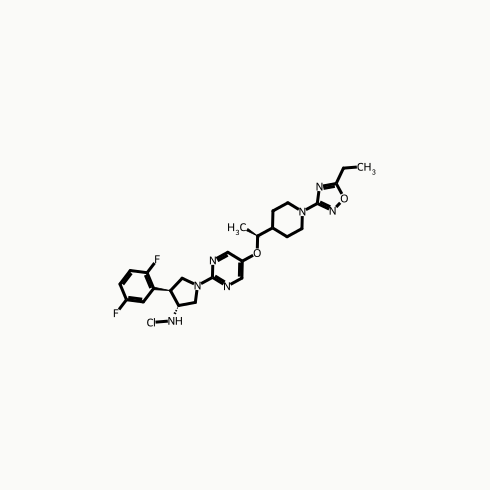 CCc1nc(N2CCC([C@H](C)Oc3cnc(N4C[C@H](NCl)[C@@H](c5cc(F)ccc5F)C4)nc3)CC2)no1